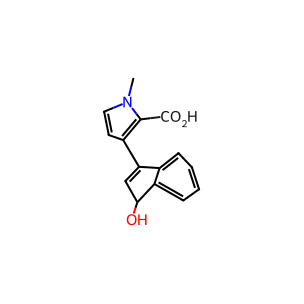 Cn1ccc(C2=CC(O)c3ccccc32)c1C(=O)O